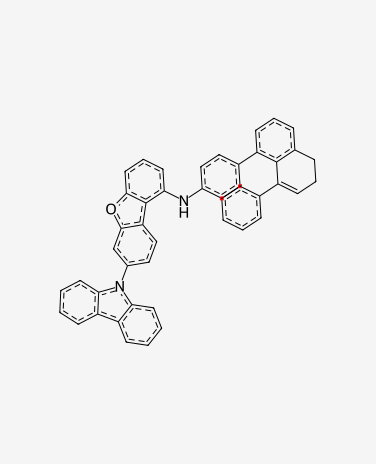 C1=C(c2ccccc2)c2c(cccc2-c2ccc(Nc3cccc4oc5cc(-n6c7ccccc7c7ccccc76)ccc5c34)cc2)CC1